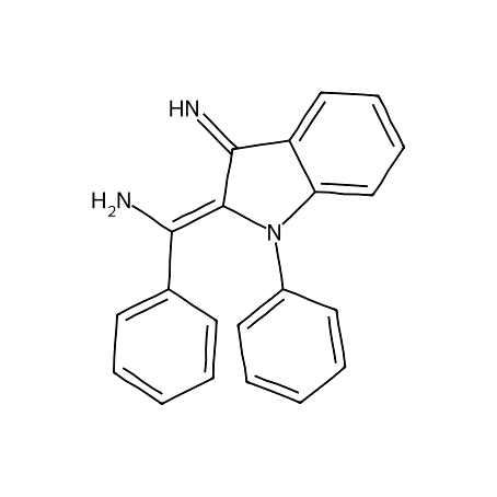 N=C1/C(=C(\N)c2ccccc2)N(c2ccccc2)c2ccccc21